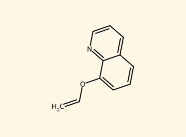 C=COc1cccc2cccnc12